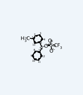 Cc1cccc([I+]c2ccccc2)c1.O=S(=O)([O-])C(F)(F)F